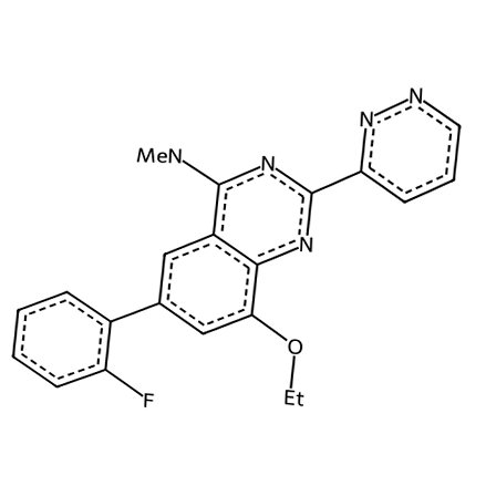 CCOc1cc(-c2ccccc2F)cc2c(NC)nc(-c3cccnn3)nc12